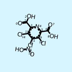 O=C(O)c1nc(C(=O)O)c(Cl)c(Cl)c1Cl.O=NO